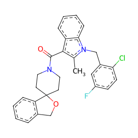 Cc1c(C(=O)N2CCC3(CC2)OCc2ccccc23)c2ccccc2n1Cc1cc(F)ccc1Cl